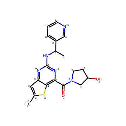 CC(Nc1nc(C(=O)N2CCC(O)C2)c2sc(C(F)(F)F)cc2n1)c1cccnc1